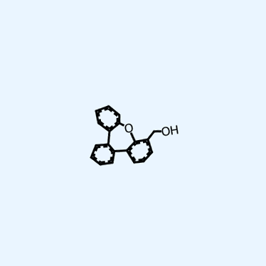 OCc1cccc2c1Oc1ccccc1-c1ccccc1-2